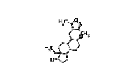 CCC12CCC3C(Cc4c(C)noc4C)C(=O)CCC3C1CCC2=O